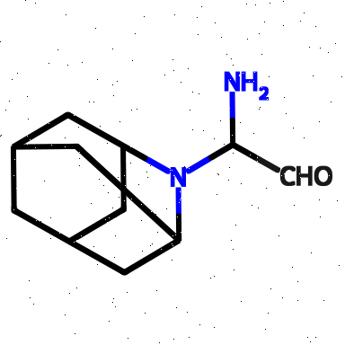 NC(C=O)N1C2CC3CC(C2)CC1C3